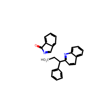 O=C(O)CC(c1ccccc1)c1ccc2ccccc2n1.O=C1N=Cc2ccccc21